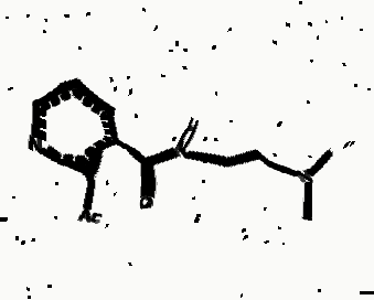 CC(=O)c1ncccc1C(=O)NCCN(C)C